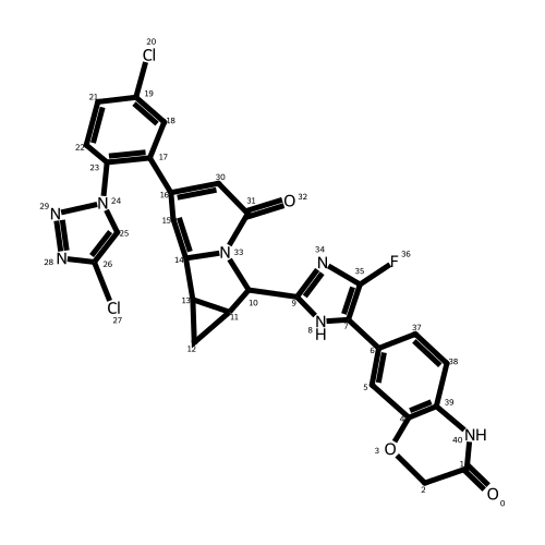 O=C1COc2cc(-c3[nH]c(C4C5CC5c5cc(-c6cc(Cl)ccc6-n6cc(Cl)nn6)cc(=O)n54)nc3F)ccc2N1